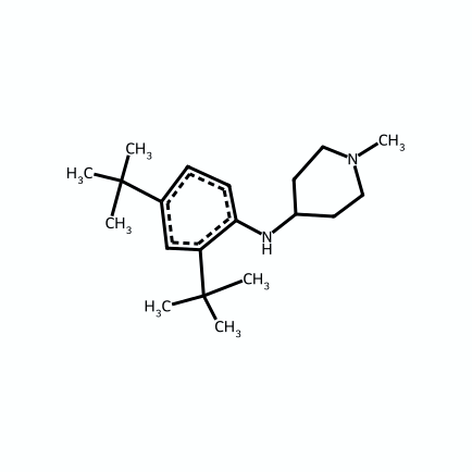 CN1CCC(Nc2ccc(C(C)(C)C)cc2C(C)(C)C)CC1